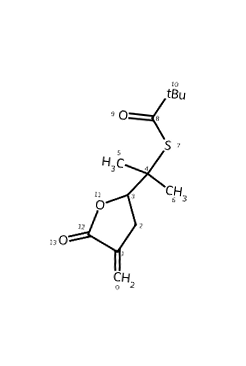 C=C1CC(C(C)(C)SC(=O)C(C)(C)C)OC1=O